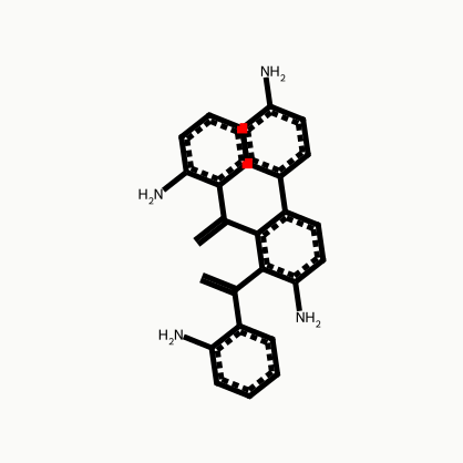 C=C(c1ccccc1N)c1c(N)ccc(-c2ccc(N)cc2)c1C(=C)c1ccccc1N